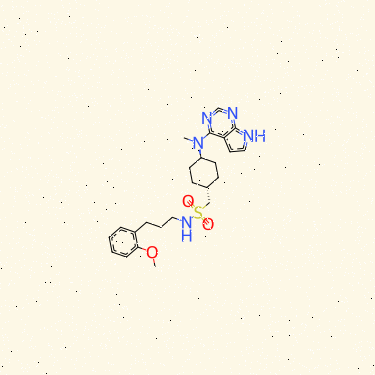 COc1ccccc1CCCNS(=O)(=O)C[C@H]1CC[C@H](N(C)c2ncnc3[nH]ccc23)CC1